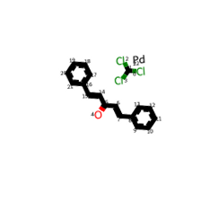 ClC(Cl)Cl.O=C(/C=C/c1ccccc1)/C=C/c1ccccc1.[Pd]